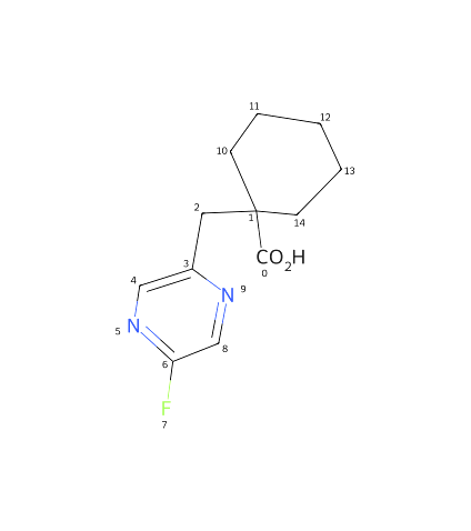 O=C(O)C1(Cc2cnc(F)cn2)CCCCC1